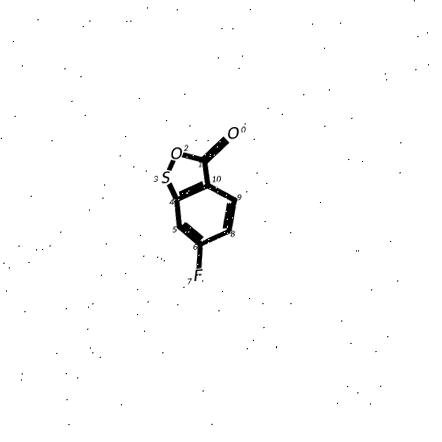 O=c1osc2cc(F)ccc12